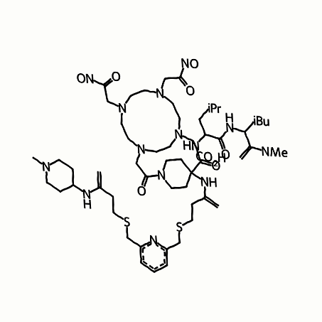 C=C(CCSCc1cccc(CSCCC(=C)NC2(C(=O)NC(CC(C)C)C(=O)NC(C(=C)NC)C(C)CC)CCN(C(=O)CN3CCN(CC(=O)O)CCN(CC(=O)N=O)CCN(CC(=O)N=O)CC3)CC2)n1)NC1CCN(C)CC1